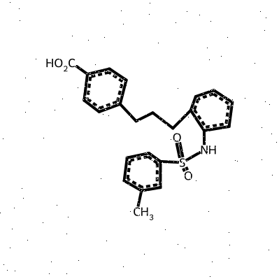 Cc1cccc(S(=O)(=O)Nc2ccccc2CCCc2ccc(C(=O)O)cc2)c1